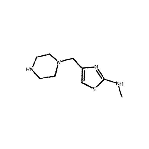 CNc1nc(CN2CCNCC2)cs1